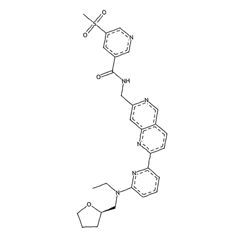 CCN(C[C@H]1CCCO1)c1cccc(-c2ccc3cnc(CNC(=O)c4cncc(S(C)(=O)=O)c4)cc3n2)n1